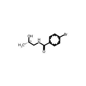 C[C@H](O)CNC(=O)c1ccc(Br)cc1